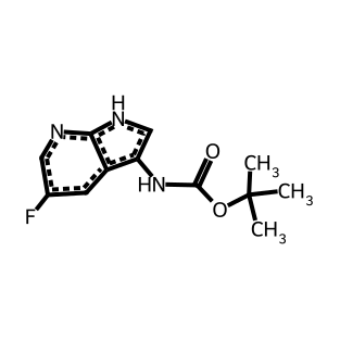 CC(C)(C)OC(=O)Nc1c[nH]c2ncc(F)cc12